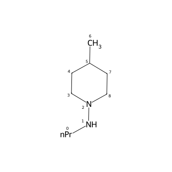 CCCNN1CCC(C)CC1